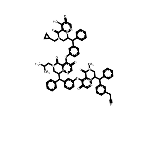 CC(C)CN1CC(C(c2ccccc2)c2cccc(Oc3c4n(ncc3=O)C(C(c3ccccc3)c3cccc(CC#N)c3)CN(C)C4=O)c2)n2ncc(=O)c(Oc3cccc(C(c4ccccc4)C4CN(CC5CC5)C(=O)c5c(O)c(=O)cnn54)c3)c2C1=O